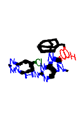 Cn1c(=O)n(C23CC4CC(CC(CO)(C4)C2)C3)c2nc(Nc3cn4ncnc4cc3Cl)ncc21